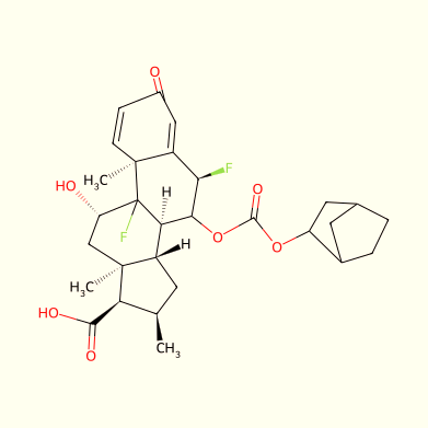 C[C@@H]1C[C@H]2[C@@H]3C(OC(=O)OC4CC5CCC4C5)[C@H](F)C4=CC(=O)C=C[C@]4(C)C3(F)[C@@H](O)C[C@]2(C)[C@@H]1C(=O)O